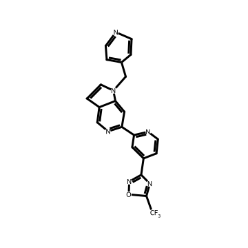 FC(F)(F)c1nc(-c2ccnc(-c3cc4c(ccn4Cc4ccncc4)cn3)c2)no1